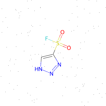 O=S(=O)(F)c1c[nH]nn1